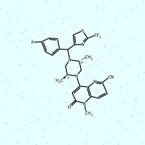 C[C@@H]1CN(c2cc(=O)n(C)c3ccc(C#N)nc23)[C@@H](C)CN1C(c1ccc(F)cc1)c1csc(C(F)(F)F)n1